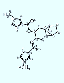 Cn1cnc(C(=O)OC2CC3C4CCC(C4)C3CC2OC(=O)c2cn(C)cn2)c1